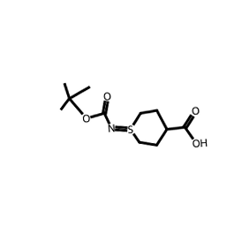 CC(C)(C)OC(=O)N=S1CCC(C(=O)O)CC1